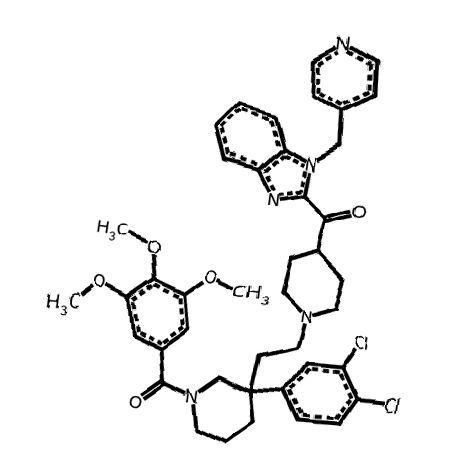 COc1cc(C(=O)N2CCCC(CCN3CCC(C(=O)c4nc5ccccc5n4Cc4ccncc4)CC3)(c3ccc(Cl)c(Cl)c3)C2)cc(OC)c1OC